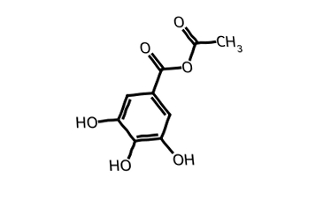 CC(=O)OC(=O)c1cc(O)c(O)c(O)c1